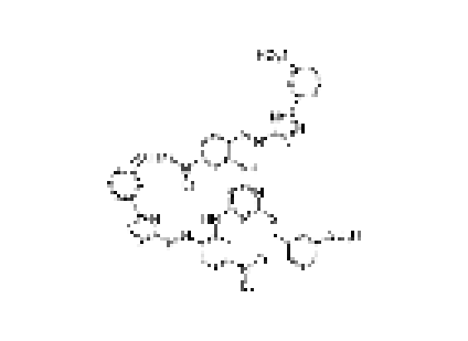 CCN(CC)c1ccc(/N=N/c2nc(-c3cccc(S(=O)(=O)O)c3)ns2)c(Nc2nc(Nc3cc(N(CC)CC)ccc3/N=N/c3nc(-c4cccc(S(=O)(=O)O)c4)ns3)nc(SCc3cccc(S(=O)(=O)O)c3)n2)c1